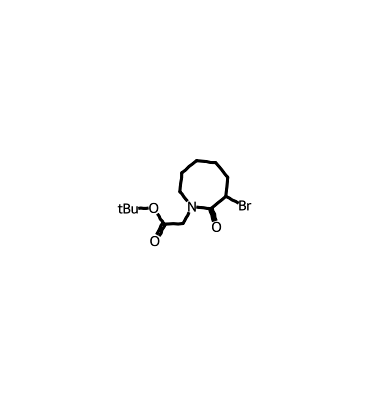 CC(C)(C)OC(=O)CN1CCCCCC(Br)C1=O